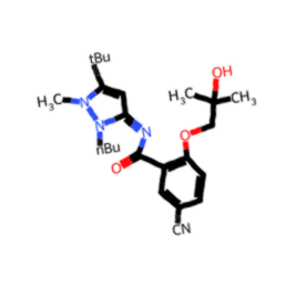 CCCCn1c(=NC(=O)c2cc(C#N)ccc2OCC(C)(C)O)cc(C(C)(C)C)n1C